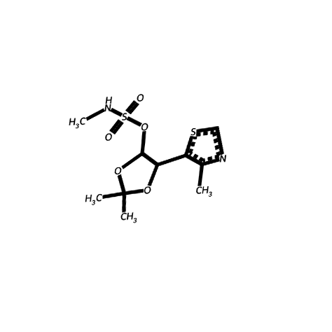 CNS(=O)(=O)OC1OC(C)(C)OC1c1scnc1C